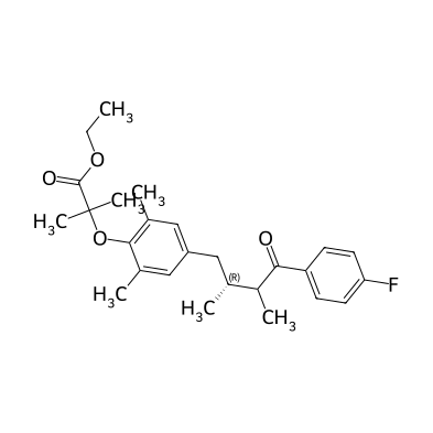 CCOC(=O)C(C)(C)Oc1c(C)cc(C[C@@H](C)C(C)C(=O)c2ccc(F)cc2)cc1C